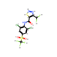 O=C(Nc1c(Cl)cc(S(=O)(=O)C(F)(F)F)cc1Cl)c1snnc1C(F)F